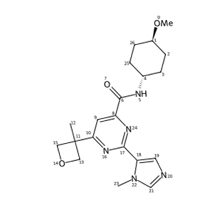 CO[C@H]1CC[C@H](NC(=O)c2cc(C3(C)COC3)nc(-c3cncn3C)n2)CC1